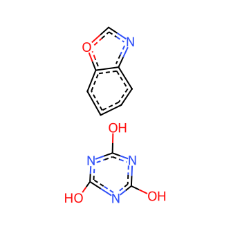 Oc1nc(O)nc(O)n1.c1ccc2ocnc2c1